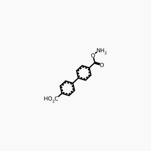 NOC(=O)c1ccc(-c2ccc(C(=O)O)cc2)cc1